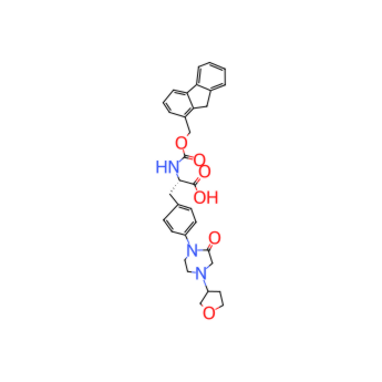 O=C(N[C@@H](Cc1ccc(N2CCN(C3CCOC3)CC2=O)cc1)C(=O)O)OCc1cccc2c1Cc1ccccc1-2